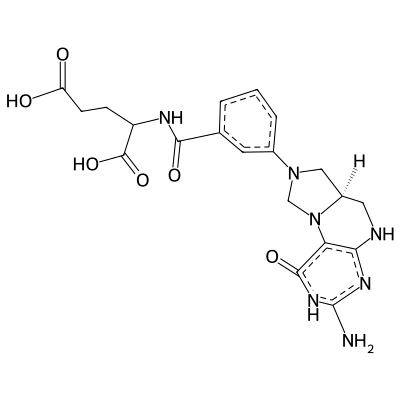 Nc1nc2c(c(=O)[nH]1)N1CN(c3cccc(C(=O)NC(CCC(=O)O)C(=O)O)c3)C[C@H]1CN2